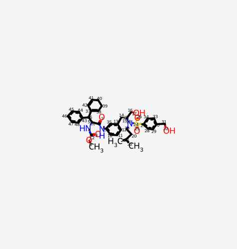 COC(=O)N[C@H](C(=O)Nc1cccc(C[C@@H](CO)N(CCC(C)C)S(=O)(=O)c2ccc(CO)cc2)c1)C(C1=CCCC=C1)c1ccccc1